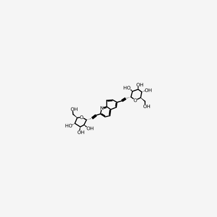 OC[C@H]1O[C@H](C#Cc2ccc3nc(C#C[C@H]4O[C@H](CO)[C@@H](O)[C@H](O)[C@@H]4O)ccc3c2)[C@@H](O)[C@@H](O)[C@@H]1O